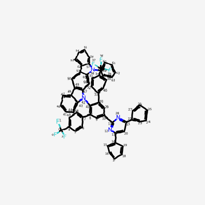 FC(F)(F)c1ccc(-c2cc(-c3nc(-c4ccccc4)cc(-c4ccccc4)n3)cc(-c3ccc(C(F)(F)F)cc3)c2-n2c3ccccc3c3cc4c5ccccc5n(-c5ccccc5)c4cc32)cc1